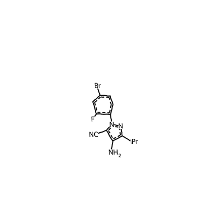 CC(C)c1nn(-c2ccc(Br)cc2F)c(C#N)c1N